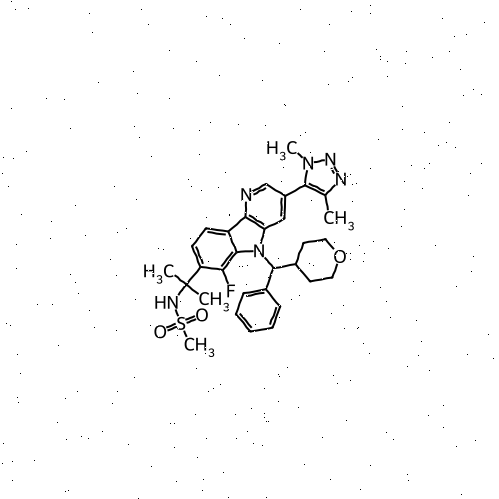 Cc1nnn(C)c1-c1cnc2c3ccc(C(C)(C)NS(C)(=O)=O)c(F)c3n(C(c3ccccc3)C3CCOCC3)c2c1